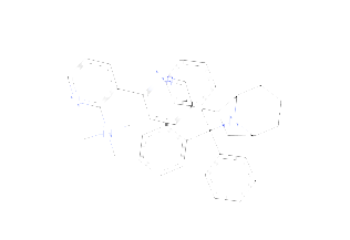 C[N+](C)(C)c1ncccc1-c1ccc(C2CC3CCCC2N3C(c2ccccc2)(c2ccccc2)c2ccccc2)cn1.[I-]